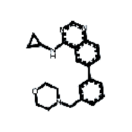 c1cc(CN2CCOCC2)cc(-c2ccc3ncnc(NC4CC4)c3c2)c1